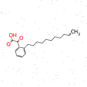 C=CCCCCCCCCCc1ccccc1C(=O)C(=O)O